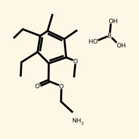 CCOC(=O)c1c(CC)c(CC)c(C)c(C)c1OC.N.OB(O)O